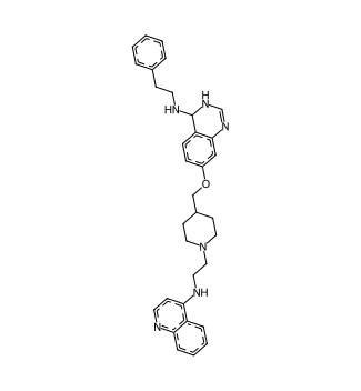 C1=Nc2cc(OCC3CCN(CCNc4ccnc5ccccc45)CC3)ccc2C(NCCc2ccccc2)N1